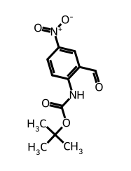 CC(C)(C)OC(=O)Nc1ccc([N+](=O)[O-])cc1C=O